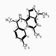 Cc1nc(N[C@H](C)c2ccc(C(F)(F)F)cc2)c2cnn(C)c2n1